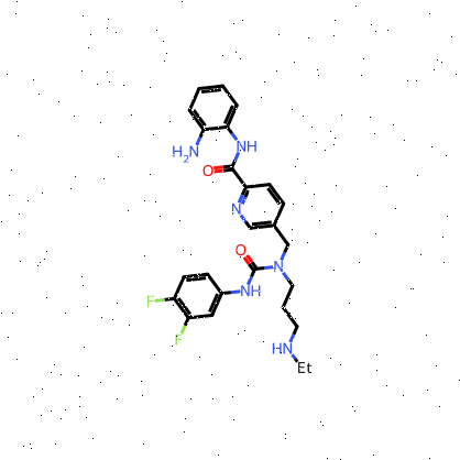 CCNCCCN(Cc1ccc(C(=O)Nc2ccccc2N)nc1)C(=O)Nc1ccc(F)c(F)c1